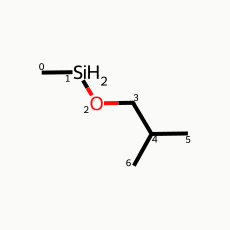 C[SiH2]OCC(C)C